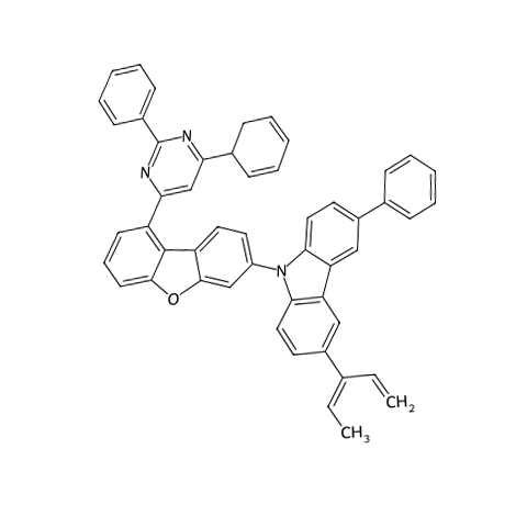 C=C/C(=C\C)c1ccc2c(c1)c1cc(-c3ccccc3)ccc1n2-c1ccc2c(c1)oc1cccc(-c3cc(C4C=CC=CC4)nc(-c4ccccc4)n3)c12